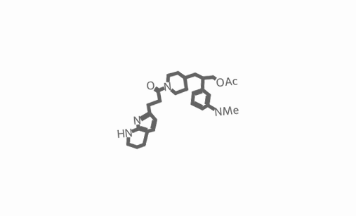 CNc1cccc(C(COC(C)=O)CC2CCN(C(=O)CCc3ccc4c(n3)NCCC4)CC2)c1